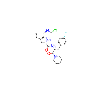 C=Cc1cc(C(=O)N[C@@H](Cc2ccc(F)cc2)C(=O)N2CCCCC2)[nH]c1/C=N\CCl